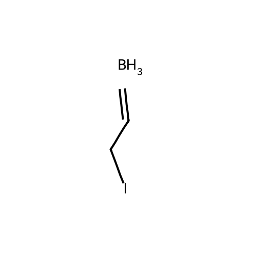 B.C=CCI